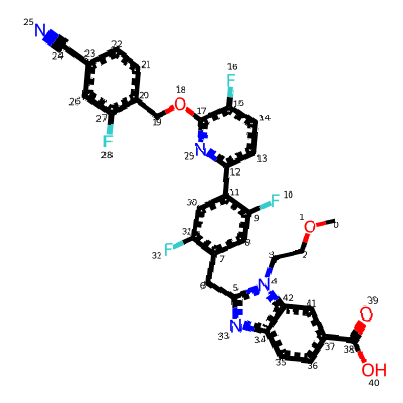 COCCn1c(Cc2cc(F)c(-c3ccc(F)c(OCc4ccc(C#N)cc4F)n3)cc2F)nc2ccc(C(=O)O)cc21